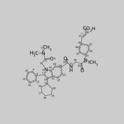 CN(C)C(=O)Cn1c(-c2ccccc2)c(C2CCCCC2)c2ccc(C(=O)NCC(=O)N(C)c3ccc(/C=C/C(=O)O)cc3)cc21